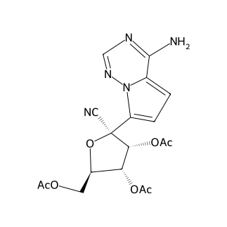 CC(=O)OC[C@H]1O[C@@](C#N)(c2ccc3c(N)ncnn23)[C@H](OC(C)=O)[C@@H]1OC(C)=O